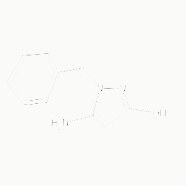 Nc1cc(O)nn1Cc1ccccc1